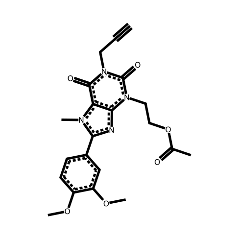 C#CCn1c(=O)c2c(nc(-c3ccc(OC)c(OC)c3)n2C)n(CCOC(C)=O)c1=O